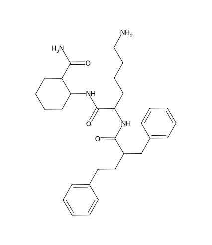 NCCCCC(NC(=O)C(CCc1ccccc1)Cc1ccccc1)C(=O)NC1CCCCC1C(N)=O